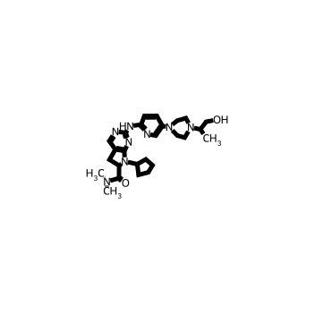 CC(CO)N1CCN(c2ccc(Nc3ncc4c(n3)N(C3CCCC3)C(C(=O)N(C)C)C4)nc2)CC1